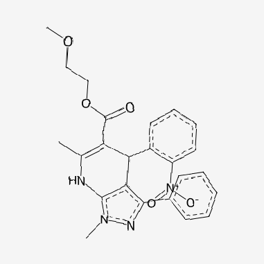 COCCOC(=O)C1=C(C)Nc2c(c(-c3ccccc3)nn2C)C1c1ccccc1[N+](=O)[O-]